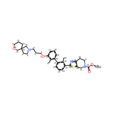 Cc1c(OCCCN2CCC3(CCCOC3)C2)cccc1-c1cccc(-c2nc3c(s2)CN(C(=O)OC(C)(C)C)CC3)c1C